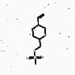 C=CC1CCC(COS(C)(=O)=O)CC1